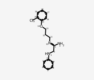 NC(CNc1ccccc1)=NCCCOc1ccccc1Cl